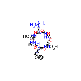 C=C1C(=O)N[C@H](C)C(=O)N[C@@H](CCCN=C(N)N)C(=O)N[C@@H](C(=O)O)[C@H](C)C(=O)N[C@@H](CC(C)C)C(=O)N[C@@H](/C=C/C(C)=C/[C@H](C)[C@H](Cc2ccccc2)OC)[C@H](C)C(=O)N[C@@H](C(=O)O)CCC(=O)N1C